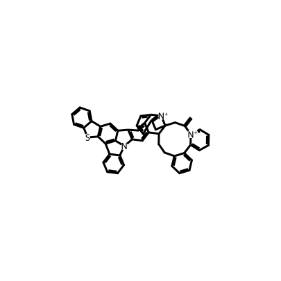 C=C1CC23Cc4cccc([n+]42)-c2cc4c5cc6c7ccccc7sc6c6c7ccccc7n(c4cc2C3CCc2ccccc2-c2cccc[n+]21)c56